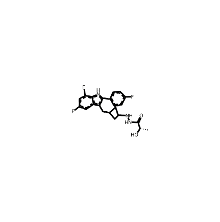 C[C@H](O)C(=O)NNC1CC(Cc2c(-c3ccc(F)cc3)[nH]c3c(F)cc(F)cc23)C1